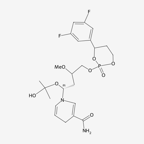 COC(COP1(=O)OCCC(c2cc(F)cc(F)c2)O1)C[C@@H](OC(C)(C)O)N1C=CCC(C(N)=O)=C1